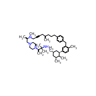 C=C(CC#CCN(C)C(=C)CN1CCN(C(=C)C(C)(C)N)CC1)CCCc1ccc(Cc2cc([C@@H]3C[C@H](C)C[C@H](C)C3C)ccc2C)cc1